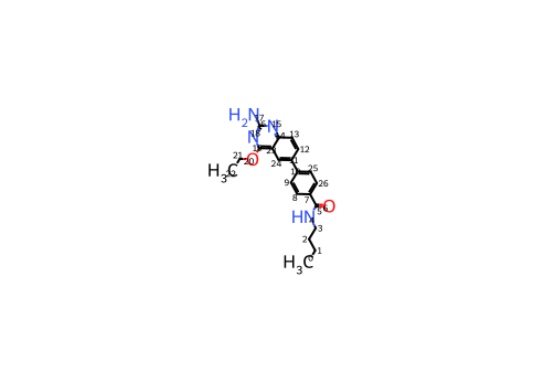 CCCCNC(=O)c1ccc(-c2ccc3nc(N)nc(OCC)c3c2)cc1